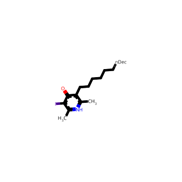 CCCCCCCCCCCCCCCCc1c(C)[nH]c(C)c(I)c1=O